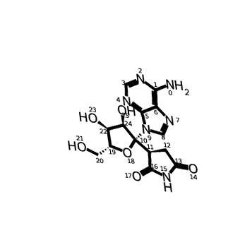 Nc1ncnc2c1ncn2[C@]1([C@H]2CC(=O)NC2=O)O[C@H](CO)[C@@H](O)[C@H]1O